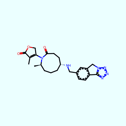 CC1=C(N2C(=O)CC[C@H](NCc3ccc4c(c3)Cn3nnnc3-4)CCC[C@H]2C)COC1=O